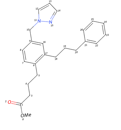 COC(=O)CCCc1ccc(Cn2cccn2)cc1CCCc1ccccc1